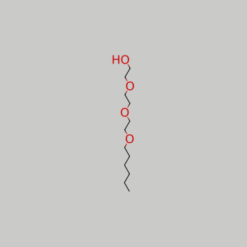 CCCCCCOCCOCCOCCO